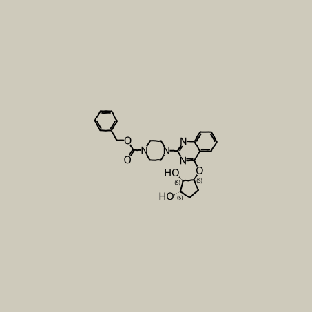 O=C(OCc1ccccc1)N1CCN(c2nc(O[C@H]3CC[C@H](O)[C@@H]3O)c3ccccc3n2)CC1